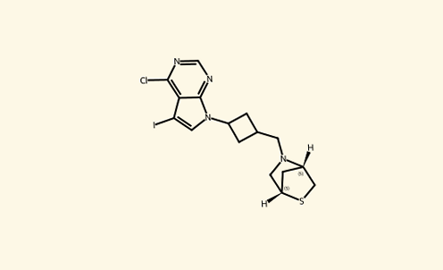 Clc1ncnc2c1c(I)cn2C1CC(CN2C[C@@H]3C[C@H]2CS3)C1